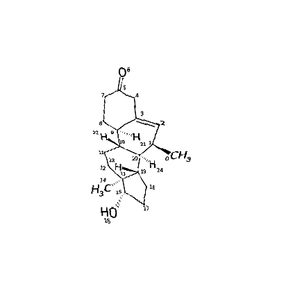 C[C@@H]1C=C2CC(=O)CC[C@@H]2[C@H]2CC[C@]3(C)[C@@H](O)CC[C@H]3[C@@H]21